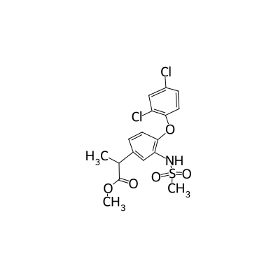 COC(=O)C(C)c1ccc(Oc2ccc(Cl)cc2Cl)c(NS(C)(=O)=O)c1